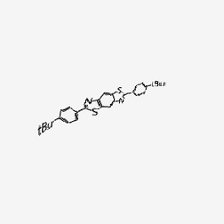 CC(C)(C)c1ccc(-c2nc3cc4sc(-c5ccc(C(C)(C)C)cc5)nc4cc3s2)cc1